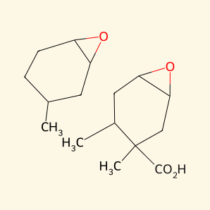 CC1CC2OC2CC1(C)C(=O)O.CC1CCC2OC2C1